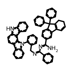 N/C(=N\C(=N/Cc1ccccc1-n1c2ccccc2c2ccc3[nH]c4ccccc4c3c21)c1ccccc1)c1ccc2c(c1)C1=C(CCC=C1)C2(c1ccccc1)c1ccccc1